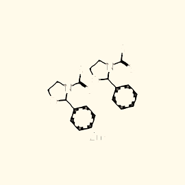 S=C([S-])N1CCOC1c1ccccc1.S=C([S-])N1CCOC1c1ccccc1.[Zn+2]